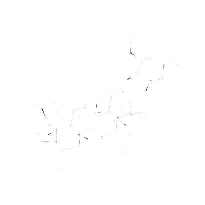 C=C(C)[C@@H]1CC[C@]2(COC(C)=O)CC[C@]3(C)[C@H](CC[C@@H]4[C@@]5(C)CCC(O[C@@H]6CC(O)O[C@H](CO)[C@@H]6O)C(C)(C)[C@@H]5CC[C@]43C)[C@@H]12.CC(=O)O.CC(=O)O.CC(=O)O